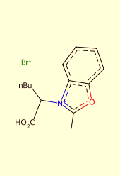 CCCCC(C(=O)O)[n+]1c(C)oc2ccccc21.[Br-]